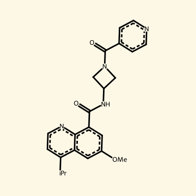 COc1cc(C(=O)NC2CN(C(=O)c3ccncc3)C2)c2nccc(C(C)C)c2c1